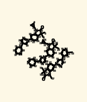 CC1(C)C(=O)N(C2CC2)c2cc(-n3cc(-c4cccnc4)cn3)ccc21.CC1(C)C(=O)N(C2CC2)c2cc(-n3cnc(-c4ccncc4)c3)ccc21.Cc1cc(-c2cnn(-c3ccc4c(c3)N(C)C(=O)C4(C)C)c2)ccn1